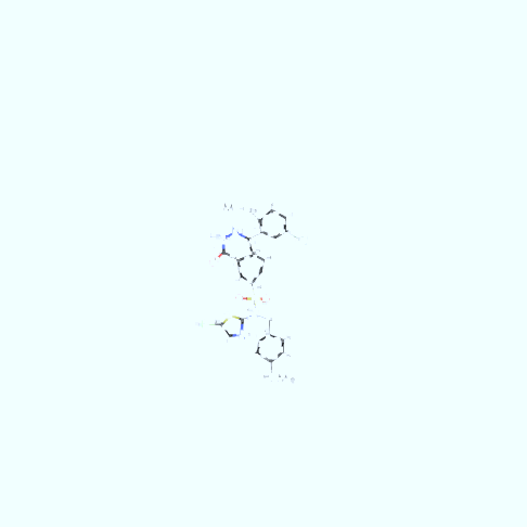 COc1ccc(CN(c2ncc(F)s2)S(=O)(=O)c2ccc3c(-c4cc(Cl)ccc4OC)n[nH]c(=O)c3c2)cc1